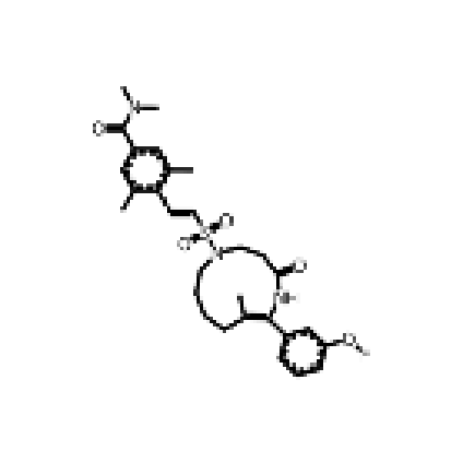 C/C1=C(/c2cccc(OF)c2)NC(=O)CCN(S(=O)(=O)/C=C/c2c(C)cc(C(=O)N(C)C)cc2C)CCCC1